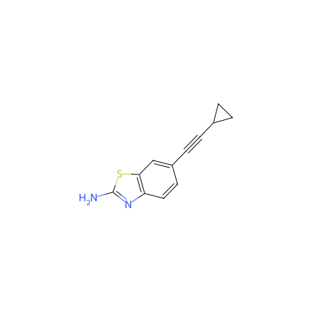 Nc1nc2ccc(C#CC3CC3)cc2s1